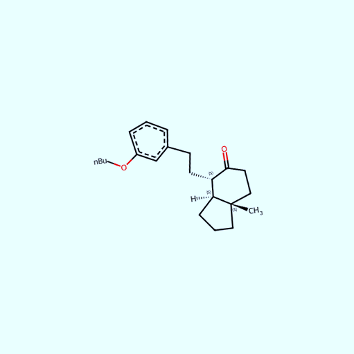 CCCCOc1cccc(CC[C@@H]2C(=O)CC[C@]3(C)CCC[C@@H]23)c1